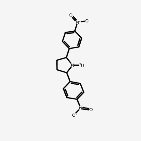 [2H]N1C(c2ccc([N+](=O)[O-])cc2)CCC1c1ccc([N+](=O)[O-])cc1